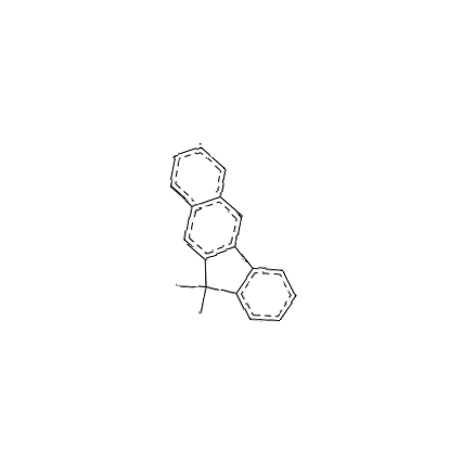 CC1(C)c2ccccc2-c2cc3c[c]ccc3cc21